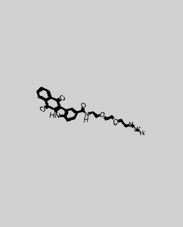 [N-]=[N+]=NCCOCCOCCNC(=O)c1ccc2[nH]c3c(c2c1)C(=O)c1ccccc1C3=O